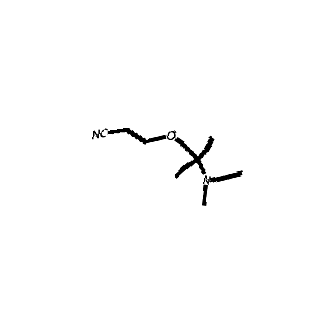 CN(C)C(C)(C)OCCC#N